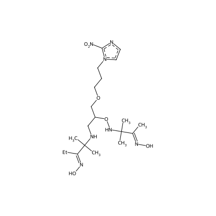 CCC(=NO)C(C)(C)NCC(COCCCn1ccnc1[N+](=O)[O-])ONC(C)(C)C(C)=NO